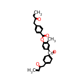 C=CC(=O)Cc1ccc(C(=O)Oc2cc[c]([Co](=[O])[c]3ccc(CC(=O)C=C)cc3)cc2C)cc1